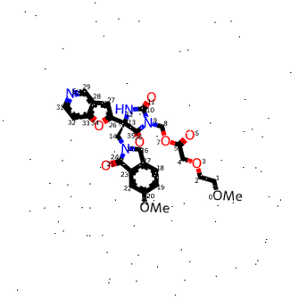 COCCOCC(=O)OCN1C(=O)N[C@@](CN2Cc3ccc(OC)cc3C2=O)(c2cc3cnccc3o2)C1=O